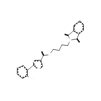 O=C(NCCCCN1C(=O)c2ccccc2C1=O)c1coc(-c2ccccc2O)n1